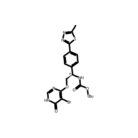 Cc1nnc(-c2ccc([C@H](COc3nc[nH]c(=O)c3Br)NC(=O)OC(C)(C)C)cc2)s1